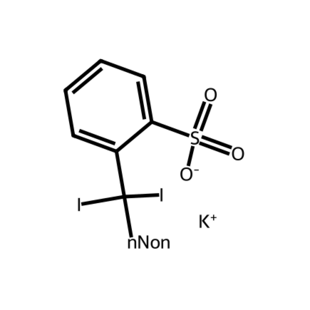 CCCCCCCCCC(I)(I)c1ccccc1S(=O)(=O)[O-].[K+]